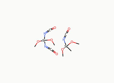 CO[Si](C)(N=C=O)OC.CO[Si](N=C=O)(N=C=O)OC